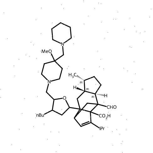 CCCCC1CC(C23C[C@@H]4[C@H](C)CC[C@H]4C4(C=O)CC2C=C(C(C)C)C34C(=O)O)OC1CN1CCC(CN2CCCCC2)(OC)CC1